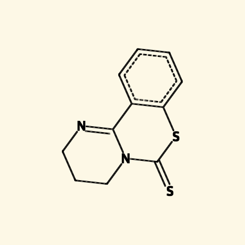 S=C1Sc2ccccc2C2=NCCCN12